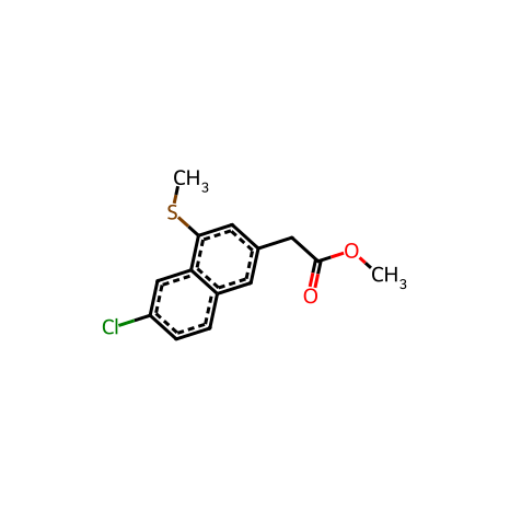 COC(=O)Cc1cc(SC)c2cc(Cl)ccc2c1